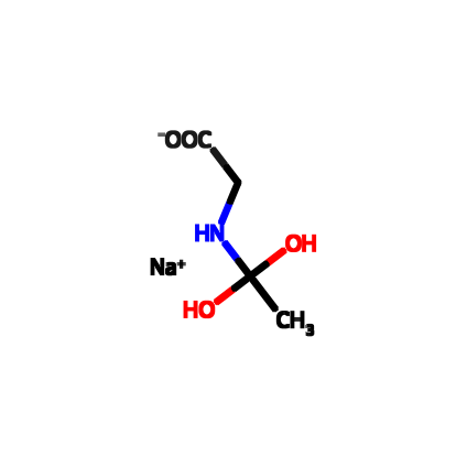 CC(O)(O)NCC(=O)[O-].[Na+]